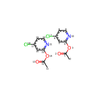 CC(=O)Oc1cc(Cl)ccn1.CC(=O)Oc1cc(Cl)ccn1